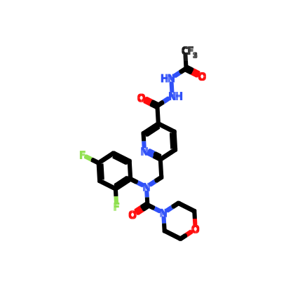 O=C(NNC(=O)C(F)(F)F)c1ccc(CN(C(=O)N2CCOCC2)c2ccc(F)cc2F)nc1